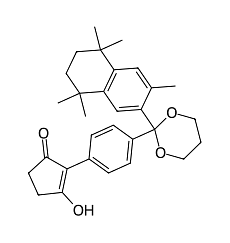 Cc1cc2c(cc1C1(c3ccc(C4=C(O)CCC4=O)cc3)OCCCO1)C(C)(C)CCC2(C)C